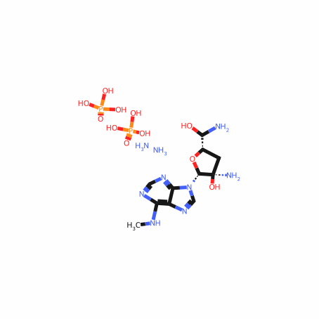 CNc1ncnc2c1ncn2[C@@H]1O[C@H](C(N)O)C[C@@]1(N)O.N.N.O=P(O)(O)O.O=P(O)(O)O